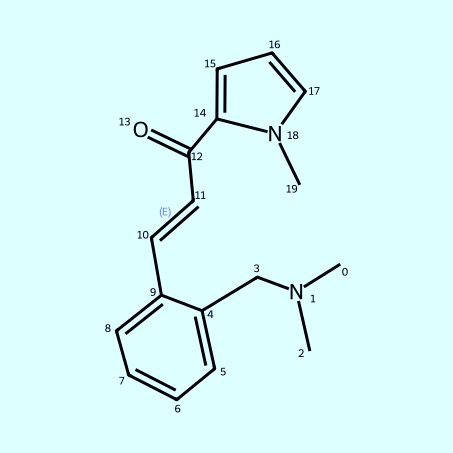 CN(C)Cc1ccccc1/C=C/C(=O)c1cccn1C